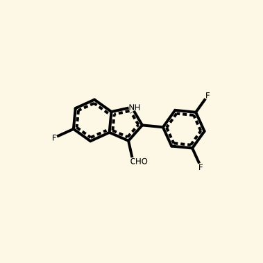 O=Cc1c(-c2cc(F)cc(F)c2)[nH]c2ccc(F)cc12